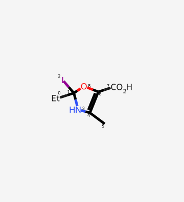 CCC1(I)NC(C)=C(C(=O)O)O1